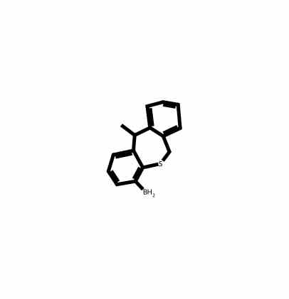 Bc1cccc2c1SCc1ccccc1C2C